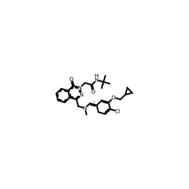 CN(/C=C1/C=C(OCC2CC2)C(Cl)=CC1)Cc1nn(CC(=O)NC(C)(C)C)c(=O)c2ccccc12